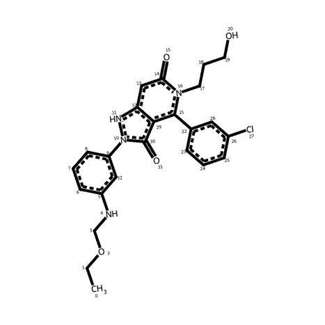 CCOCNc1cccc(-n2[nH]c3cc(=O)n(CCCO)c(-c4cccc(Cl)c4)c3c2=O)c1